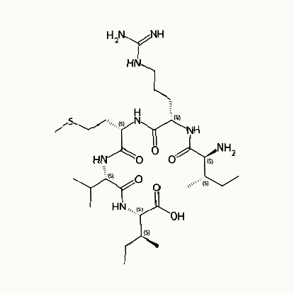 CC[C@H](C)[C@H](N)C(=O)N[C@@H](CCCNC(=N)N)C(=O)N[C@@H](CCSC)C(=O)N[C@H](C(=O)N[C@H](C(=O)O)[C@@H](C)CC)C(C)C